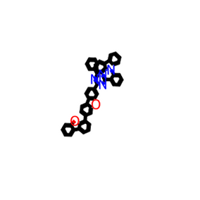 c1ccc(-c2nc(-c3ccc4c(c3)oc3cc(-c5cccc6c5oc5ccccc56)ccc34)nc(-c3ccccc3-n3c4ccccc4c4ccccc43)n2)cc1